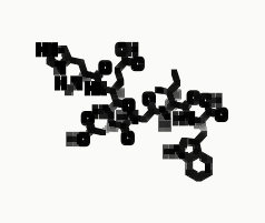 CC[C@H](C)[C@H](NC(=O)CNC(=O)[C@H](CC(=O)O)NC(=O)[C@H](CCC(=O)O)NC(=O)[C@H](N)Cc1c[nH]cn1)C(=O)N[C@@H](Cc1c[nH]c2ccccc12)C(=O)O